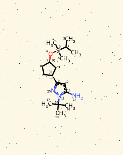 CC(C)[Si](C)(C)O[C@@H]1CC[C@H](c2cc(N)n(C(C)(C)C)n2)C1